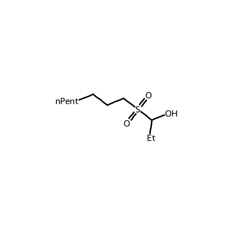 CCCCCCCCS(=O)(=O)C(O)CC